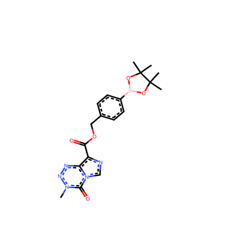 Cn1nnc2c(C(=O)OCc3ccc(B4OC(C)(C)C(C)(C)O4)cc3)ncn2c1=O